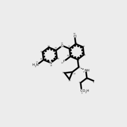 CC(CC(=O)O)N[C@@H](c1ccc(Cl)c(Oc2ccc(N)nc2)c1F)C1CC1